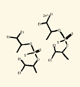 CCC(CC)C(C)OP(=S)([S-])OC(C)C(CC)CC.CCC(CC)C(C)OP(=S)([S-])OC(C)C(CC)CC.[Zn+2]